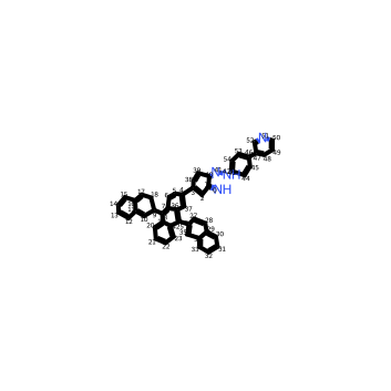 N=C1C=C(c2ccc3c(C4C=c5ccccc5=CC4)c4ccccc4c(-c4ccc5ccccc5c4)c3c2)C=C/C1=N/Nc1ccc(-c2cccnc2)cc1